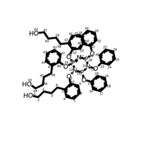 OCCCCc1ccccc1ON1P(Oc2ccccc2)N(Oc2ccccc2)P(Oc2ccccc2)N=P1(Oc1ccccc1CCCCO)Oc1ccccc1CCCCO